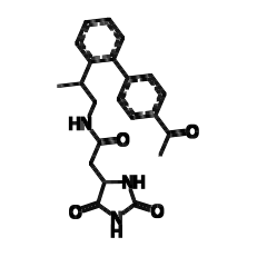 CC(=O)c1ccc(-c2ccccc2C(C)CNC(=O)CC2NC(=O)NC2=O)cc1